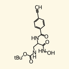 C#Cc1ccc(C(=O)NC(CNC(=O)OC(C)(C)C)C(=O)NO)cc1